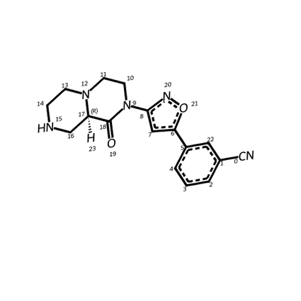 N#Cc1cccc(-c2cc(N3CCN4CCNC[C@@H]4C3=O)no2)c1